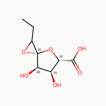 CCC1O[C@@]12O[C@H](C(=O)O)[C@@H](O)[C@H]2O